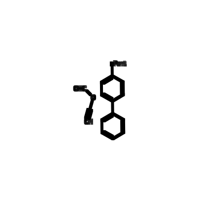 C#COC=O.CCCCCc1ccc(-c2ccccc2)cc1